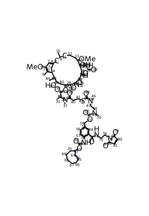 COC1=C(C)C2CC(=C1)CC(C)CCCC(OC)C1(O)C[C@H](OC(=O)N1)[C@@H](C)[C@@H]1O[C@@]1(C)[C@@H](OC(=O)[C@H](C)N(C)C(=O)CCSC(=O)N(C)CCN(C)C(=O)OCc1ccc(NC(=O)OC3/C=C/CCCCC3)c(C(=O)NCCN3C(=O)C=CC3=O)c1)CC(O)C2C